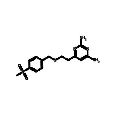 CS(=O)(=O)c1ccc(CSCCc2cc(N)nc(N)n2)cc1